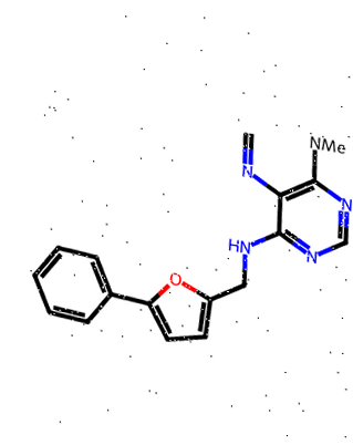 C=Nc1c(NC)ncnc1NCc1ccc(-c2ccccc2)o1